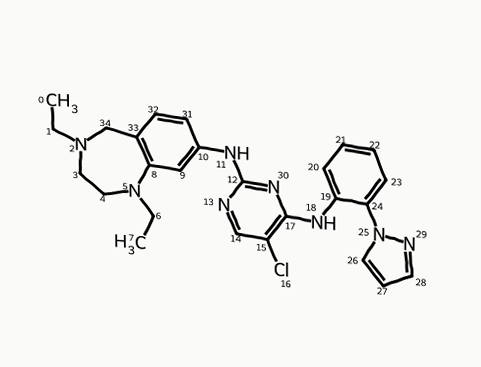 CCN1CCN(CC)c2cc(Nc3ncc(Cl)c(Nc4ccccc4-n4cccn4)n3)ccc2C1